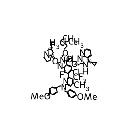 COc1ccc(CN(Cc2ccc(OC)cc2)c2cc(C)c(C(F)(F)F)c(-c3c(Cl)c(OCCN[C@@H](c4cccnc4N)C4CC4)c4c(=O)n(COCC[Si](C)(C)C)c(OC[C@@]56CCCN5C[C@H](F)C6)nc4c3F)n2)cc1